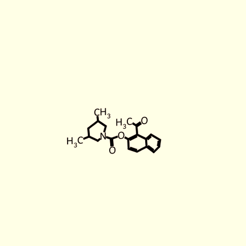 CC(=O)c1c(OC(=O)N2CC(C)CC(C)C2)ccc2ccccc12